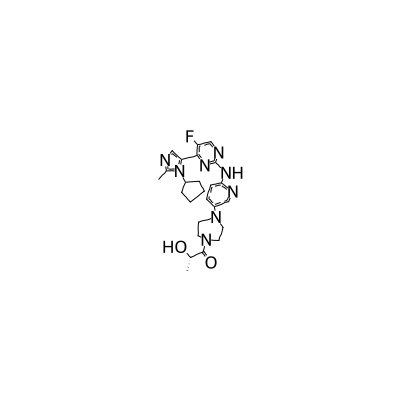 Cc1ncc(-c2nc(Nc3ccc(N4CCN(C(=O)[C@H](C)O)CC4)cn3)ncc2F)n1C1CCCC1